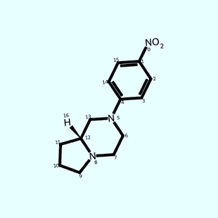 O=[N+]([O-])c1ccc(N2CCN3CCC[C@@H]3C2)cc1